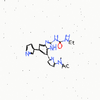 CCNC(=O)Nc1nc2cc(-c3cccnc3)cc(-c3cccc(N(C)C(C)=O)n3)c2[nH]1